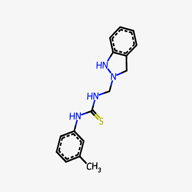 Cc1cccc(NC(=S)NCN2Cc3ccccc3N2)c1